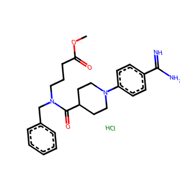 COC(=O)CCCN(Cc1ccccc1)C(=O)C1CCN(c2ccc(C(=N)N)cc2)CC1.Cl